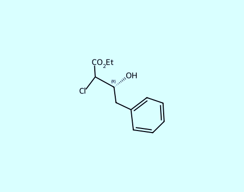 CCOC(=O)C(Cl)[C@H](O)Cc1ccccc1